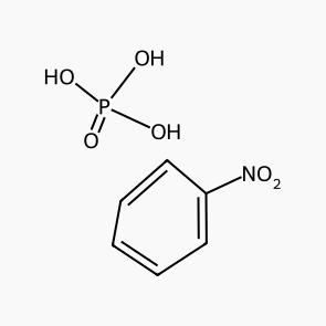 O=P(O)(O)O.O=[N+]([O-])c1ccccc1